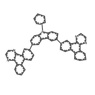 c1ccc(-n2c3ccc(-c4ccc5c6ccccc6c6nccnc6c5c4)cc3c3cc(-c4ccc5c6ccccc6c6nccnc6c5c4)ccc32)cc1